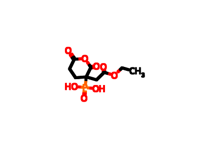 CCOC(=O)CC1(P(=O)(O)O)CCC(=O)OC1=O